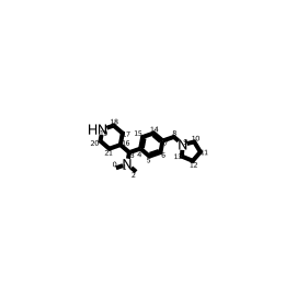 CN(C)C(c1ccc(CN2CCCC2)cc1)C1CCNCC1